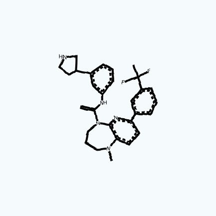 C=C(Nc1cccc(C2CCNC2)c1)N1CCCN(C)c2ccc(-c3cccc(C(C)(F)F)c3)nc21